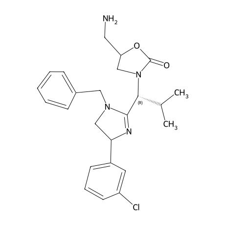 CC(C)[C@H](C1=NC(c2cccc(Cl)c2)CN1Cc1ccccc1)N1CC(CN)OC1=O